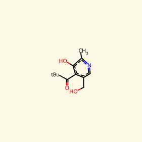 Cc1ncc(CO)c(C(=O)C(C)(C)C)c1O